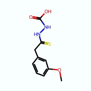 COc1cccc(CC(=S)NNC(=O)O)c1